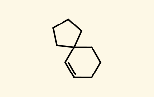 C1=CC2(CCC1)CCCC2